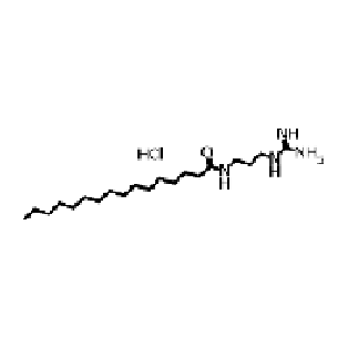 CCCCCCCCCCCCCCCC(=O)NCCCNC(=N)N.Cl